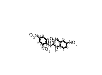 O=[N+]([O-])c1ccc(NC(Cl)Nc2ccc([N+](=O)[O-])cc2[N+](=O)[O-])c([N+](=O)[O-])c1